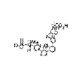 COc1nc(-c2cccc(-c3cccc(-c4ccn5c(=O)c(CNC(C)(C)C(=O)O)cnc5c4)c3Cl)c2Cl)ccc1CNC[C@H]1CCC(=O)N1